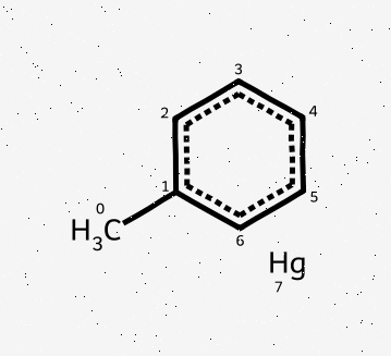 Cc1ccccc1.[Hg]